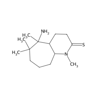 CN1C(=S)CCC2C1CCCC(C)(C)C2(C)N